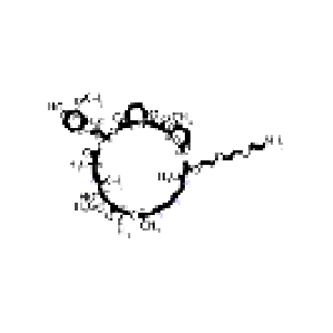 CO[C@@H]1C[C@H](C[C@@H](C)[C@@H]2CC(=O)[C@H](C)/C=C(\C)[C@@H](O)[C@@H](OC)C(=O)[C@H](C)C[C@H](C)/C=C/C=C/C=C(\C)C(OCCOCCOCCN)C[C@@H]3CC[C@@H](C)[C@@](O)(O3)C(=O)C(=O)N3CCCC[C@H]3C(=O)O2)CC[C@H]1O